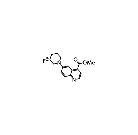 COC(=O)c1ccnc2ccc(N3CCC[C@H](F)C3)cc12